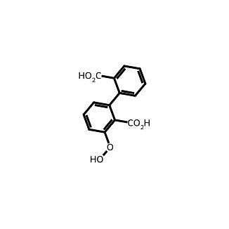 O=C(O)c1ccccc1-c1cccc(OO)c1C(=O)O